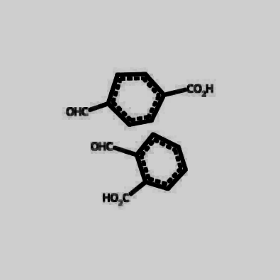 O=Cc1ccc(C(=O)O)cc1.O=Cc1ccccc1C(=O)O